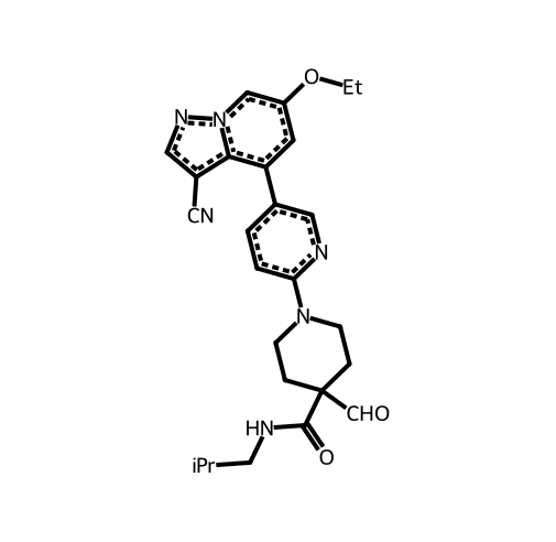 CCOc1cc(-c2ccc(N3CCC(C=O)(C(=O)NCC(C)C)CC3)nc2)c2c(C#N)cnn2c1